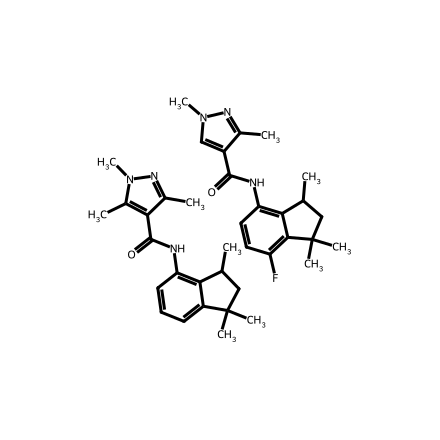 Cc1nn(C)c(C)c1C(=O)Nc1cccc2c1C(C)CC2(C)C.Cc1nn(C)cc1C(=O)Nc1ccc(F)c2c1C(C)CC2(C)C